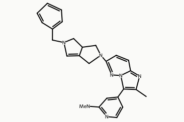 CNc1cc(-c2c(C)nc3ccc(N4CC5=CN(Cc6ccccc6)CC5C4)nn23)ccn1